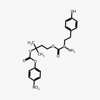 CC(C)(CCOC(=O)N(N)CCc1ccc(O)cc1)OC(=O)Oc1ccc([N+](=O)[O-])cc1